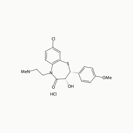 CNCCN1C(=O)[C@@H](O)[C@@H](c2ccc(OC)cc2)Sc2cc(Cl)ccc21.Cl